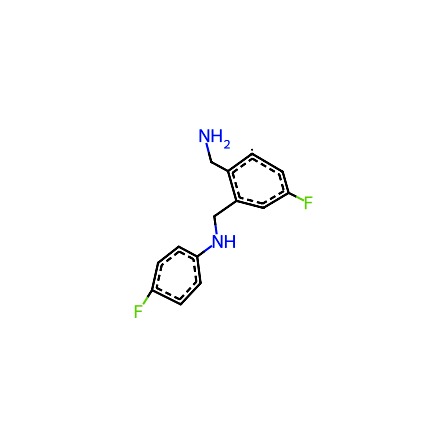 NCc1[c]cc(F)cc1CNc1ccc(F)cc1